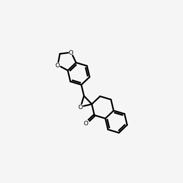 O=C1c2ccccc2CCC12OC2c1ccc2c(c1)OCO2